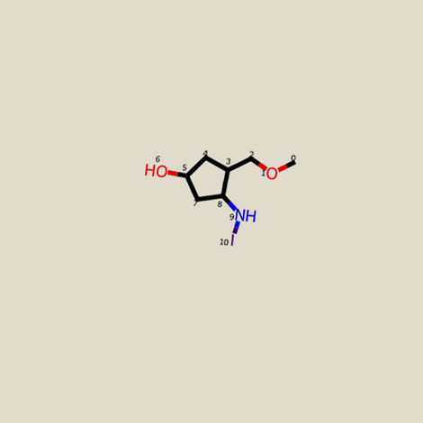 COCC1CC(O)CC1NI